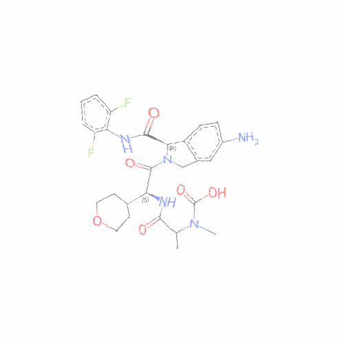 CC(C(=O)N[C@H](C(=O)N1Cc2cc(N)ccc2[C@@H]1C(=O)Nc1c(F)cccc1F)C1CCOCC1)N(C)C(=O)O